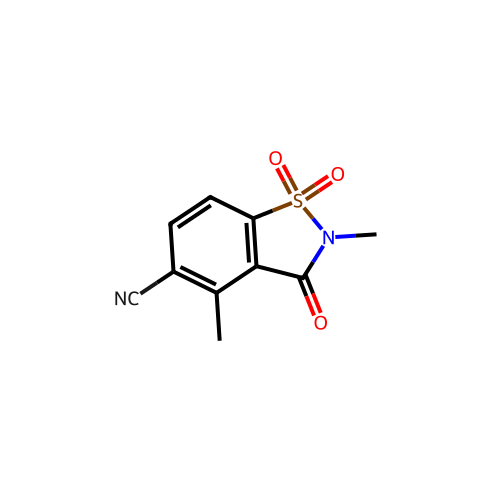 Cc1c(C#N)ccc2c1C(=O)N(C)S2(=O)=O